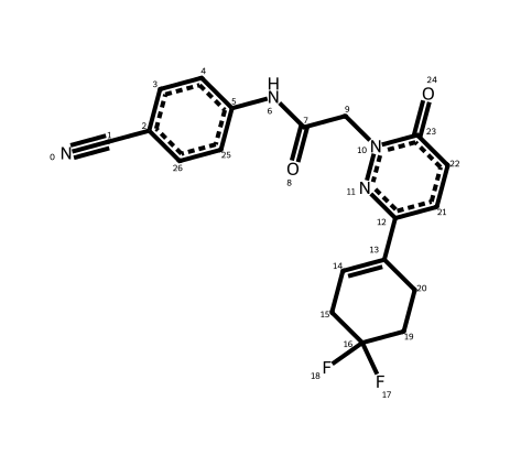 N#Cc1ccc(NC(=O)Cn2nc(C3=CCC(F)(F)CC3)ccc2=O)cc1